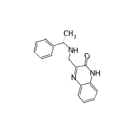 C[C@H](NCc1nc2ccccc2[nH]c1=O)c1ccccc1